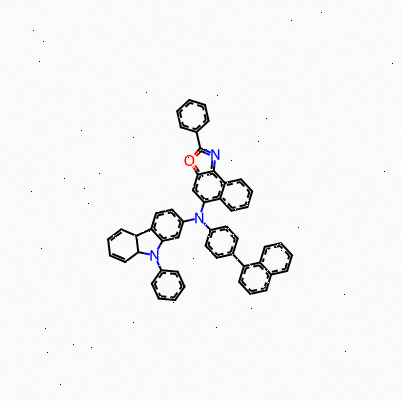 C1=CC2c3ccc(N(c4ccc(-c5cccc6ccccc56)cc4)c4cc5oc(-c6ccccc6)nc5c5ccccc45)cc3N(c3ccccc3)C2C=C1